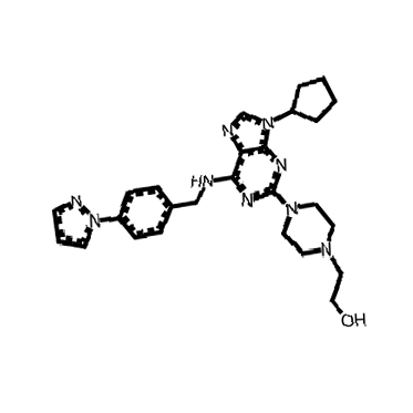 OCCN1CCN(c2nc(NCc3ccc(-n4cccn4)cc3)c3ncn(C4CCCC4)c3n2)CC1